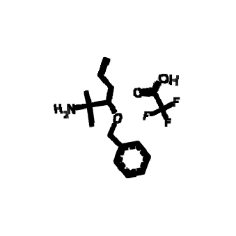 C=CCC(OCc1ccccc1)C(C)(C)N.O=C(O)C(F)(F)F